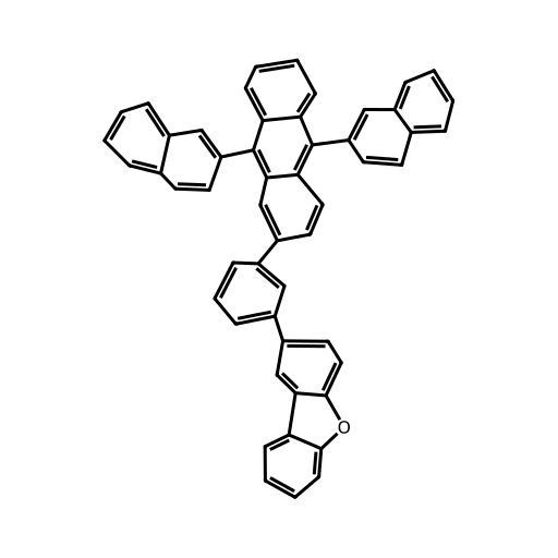 c1cc(-c2ccc3c(-c4ccc5ccccc5c4)c4ccccc4c(-c4ccc5ccccc5c4)c3c2)cc(-c2ccc3oc4ccccc4c3c2)c1